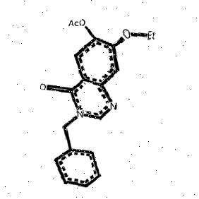 CCOc1cc2ncn(Cc3ccccc3)c(=O)c2cc1OC(C)=O